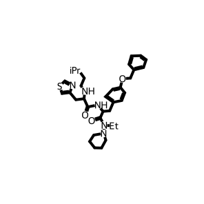 CCN(C(=O)C(Cc1ccc(OCc2ccccc2)cc1)NC(=O)C(Cc1cscn1)NCCC(C)C)N1CCCCC1